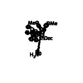 CCCCCCCCCCCCCCC(OCc1ccc(OC)cc1)C(OCc1ccc(OC)cc1)C(CO[C@H]1OC(COCc2ccccc2)[C@H](OCc2ccccc2)[C@H](OCc2ccccc2)[C@H]1OCc1ccccc1)CC(=O)CCCCCCCCCCCOC(N)=O